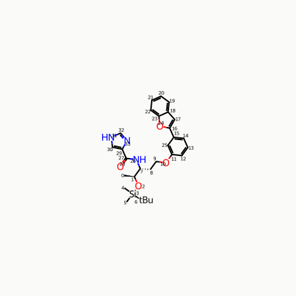 C[C@H](O[Si](C)(C)C(C)(C)C)[C@@H](CCOc1cccc(-c2cc3ccccc3o2)c1)NC(=O)c1c[nH]cn1